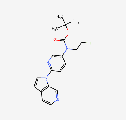 CC(C)(C)OC(=O)N(CCF)c1ccc(-n2ccc3ccncc32)nc1